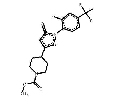 COC(=O)N1CCC(c2cc(=O)n(-c3ccc(C(F)(F)F)cc3F)o2)CC1